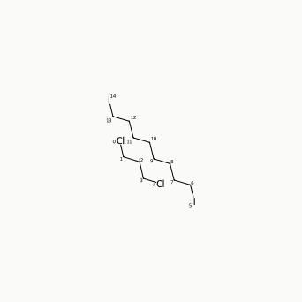 ClC[CH]CCl.ICCCCCCCCI